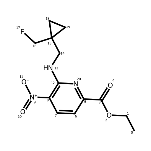 CCOC(=O)c1ccc([N+](=O)[O-])c(NCC2(CF)CC2)n1